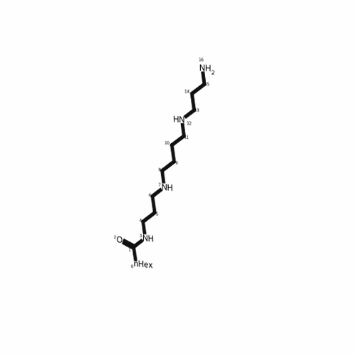 CCCCCCC(=O)NCCCNCCCCNCCCN